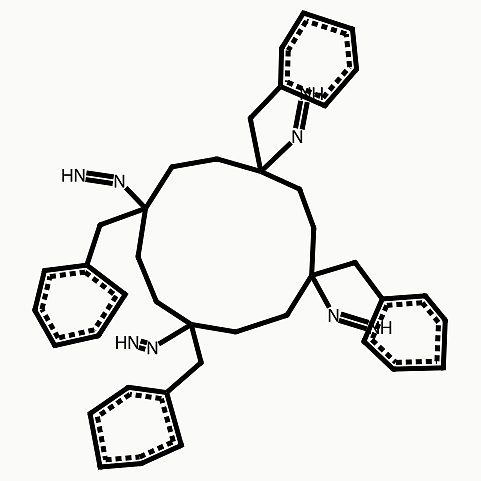 N=NC1(Cc2ccccc2)CCC(Cc2ccccc2)(N=N)CCC(Cc2ccccc2)(N=N)CCC(Cc2ccccc2)(N=N)CC1